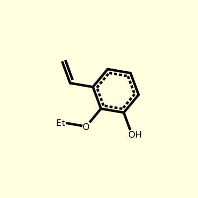 C=Cc1cccc(O)c1OCC